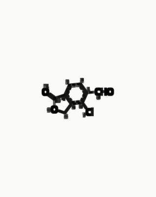 O=Cc1ccc2c(c1Cl)COC2=O